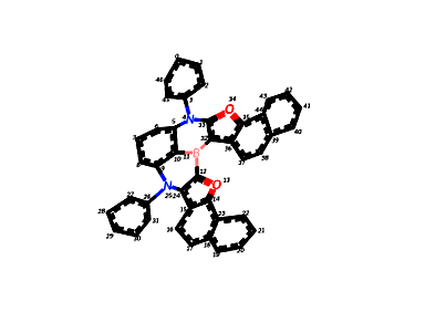 c1ccc(N2c3cccc4c3B(c3oc5c(ccc6ccccc65)c3N4c3ccccc3)c3c2oc2c3ccc3ccccc32)cc1